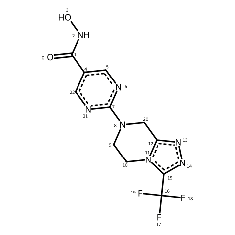 O=C(NO)c1cnc(N2CCn3c(nnc3C(F)(F)F)C2)nc1